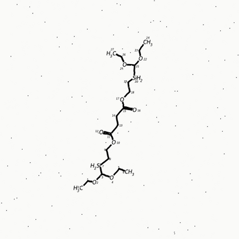 CCOC(OCC)[SiH2]CCOC(=O)CCC(=O)OCC[SiH2]C(OCC)OCC